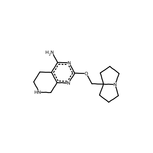 Nc1nc(OCC23CCCN2CCC3)nc2c1CCNC2